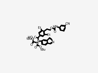 CCc1cc(C(C(=O)O)N(c2ccc3cnccc3c2)N(C(=O)OC(C)(C)C)C(=O)OC(C)(C)C)cc(CC)c1CCOC(=O)Nc1cccc(C#N)c1